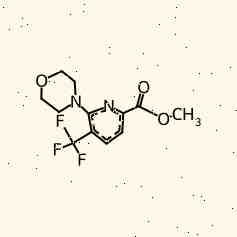 COC(=O)c1ccc(C(F)(F)F)c(N2CCOCC2)n1